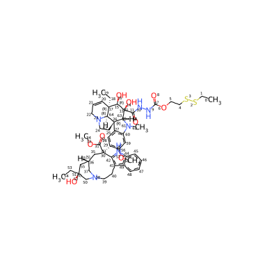 CCSSCCOC(=O)NNC(=O)[C@@]1(O)[C@H](O)[C@]2(CC)C=CCN3CC[C@@]4(c5cc([C@@]6(C(=O)OC)C[C@@H]7CN(CCc8c6[nH]c6ccccc86)C[C@](O)(CC)C7)c(OC)cc5N(C)[C@@H]14)[C@@H]32